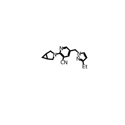 CCc1ccn(Cc2cnc(N3CC4CC4C3)c(C#N)c2)n1